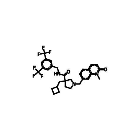 Cn1c(=O)ccc2ccc(CN3CCC(CC4CCC4)(C(=O)NCc4cc(C(F)(F)F)cc(C(F)(F)F)c4)C3)cc21